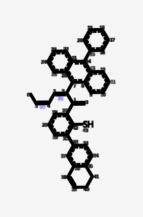 C=C(/C(=C\C=C/C)c1c2ccccc2c(-c2ccccc2)c2ccccc12)c1cccc(-c2ccc3c(c2)C=CCC3)c1S